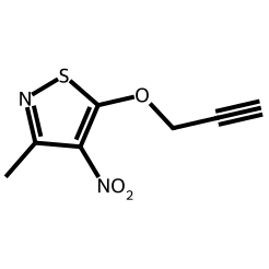 C#CCOc1snc(C)c1[N+](=O)[O-]